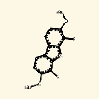 CCCCOc1ccc2c(sc3c(F)c(OCCCC)ccc32)c1F